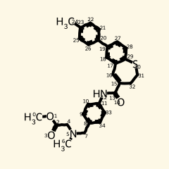 COC(=O)CN(C)Cc1ccc(NC(=O)C2=Cc3cc(-c4ccc(C)cc4)ccc3SCC2)cc1